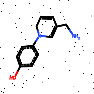 NCC1=CN(c2ccc(O)cc2)CC=C1